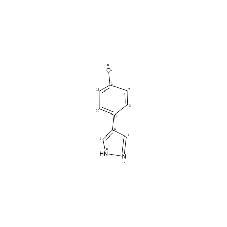 [O]c1ccc(-c2cn[nH]c2)cc1